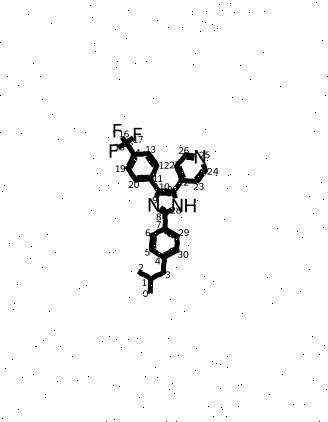 CC(C)Cc1ccc(-c2nc(-c3ccc(C(F)(F)F)cc3)c(-c3ccncc3)[nH]2)cc1